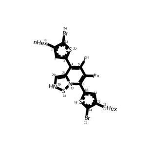 CCCCCCc1cc(C2=C(F)C(F)=C(c3cc(CCCCCC)c(Br)s3)N3SNC=C23)sc1Br